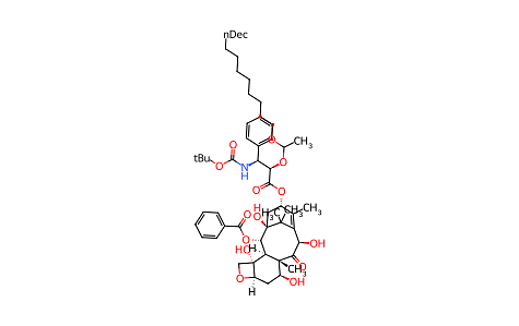 CCCCCCCCCCCCCCCCCCOC(C)O[C@@H](C(=O)O[C@H]1C[C@@]2(O)[C@@H](OC(=O)c3ccccc3)[C@@H]3[C@]4(O)CO[C@@H]4C[C@H](O)[C@@]3(C)C(=O)[C@H](O)C(=C1C)C2(C)C)[C@@H](NC(=O)OC(C)(C)C)c1ccccc1